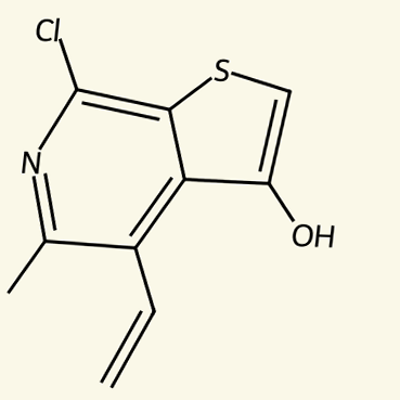 C=Cc1c(C)nc(Cl)c2scc(O)c12